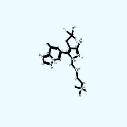 Cc1cc(-c2c(CC(F)(F)F)c(Br)nn2COCC[Si](C)(C)C)cn2ncnc12